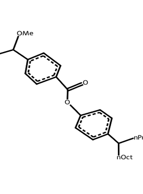 CCCCCCCCC(CCC)c1ccc(OC(=O)c2ccc(C(C)OC)cc2)cc1